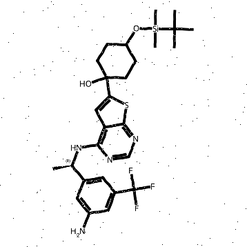 C[C@@H](Nc1ncnc2sc(C3(O)CCC(O[Si](C)(C)C(C)(C)C)CC3)cc12)c1cc(N)cc(C(F)(F)F)c1